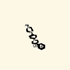 COC1(c2ccccc2)CCN(c2ccc(N3CCN(C(C)=O)CC3)cc2)CC1